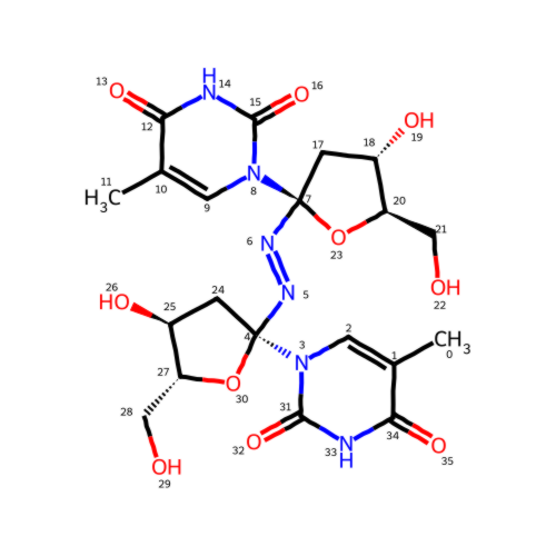 Cc1cn([C@@]2(/N=N/[C@]3(n4cc(C)c(=O)[nH]c4=O)C[C@H](O)[C@@H](CO)O3)C[C@H](O)[C@@H](CO)O2)c(=O)[nH]c1=O